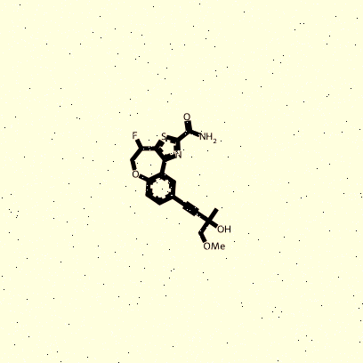 COCC(C)(O)C#Cc1ccc2c(c1)-c1nc(C(N)=O)sc1C(F)CO2